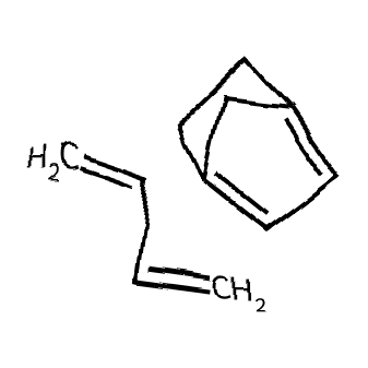 C1=C2CCC(=C1)C2.C=CC=C